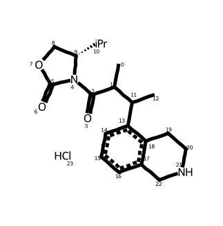 CC(C(=O)N1C(=O)OC[C@@H]1C(C)C)C(C)c1cccc2c1CCNC2.Cl